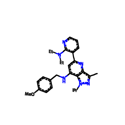 CCN(CC)c1ncccc1-c1cc(NCc2ccc(OC)cc2)c2c(n1)c(C)nn2C(C)C